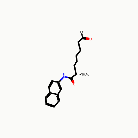 CCC(=O)CCCCC[C@H](NC(C)=O)C(=O)Nc1ccc2ccccc2c1